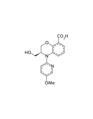 COc1ccc(N2c3cccc(C(=O)O)c3OC[C@@H]2CO)nc1